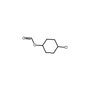 O=COC1CCC(Cl)CC1